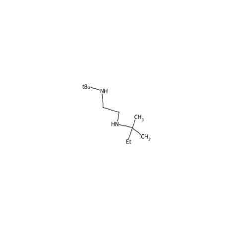 CCC(C)(C)NCCNC(C)(C)C